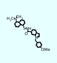 COc1ccc(Cn2ccc3ccc(C(=O)NSc4cccc5c(N(C)C)cccc45)cc32)cc1